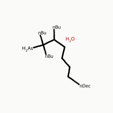 CCCCCCCCCCCCCCC(CCCC)C([AsH2])(CCCC)CCCC.O